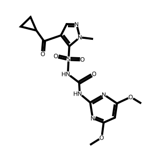 COc1cc(OC)nc(NC(=O)NS(=O)(=O)c2c(C(=O)C3CC3)cnn2C)n1